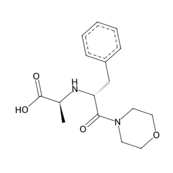 C[C@H](N[C@H](Cc1ccccc1)C(=O)N1CCOCC1)C(=O)O